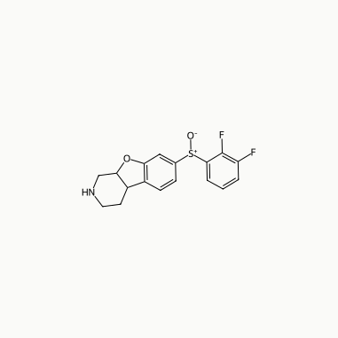 [O-][S+](c1ccc2c(c1)OC1CNCCC21)c1cccc(F)c1F